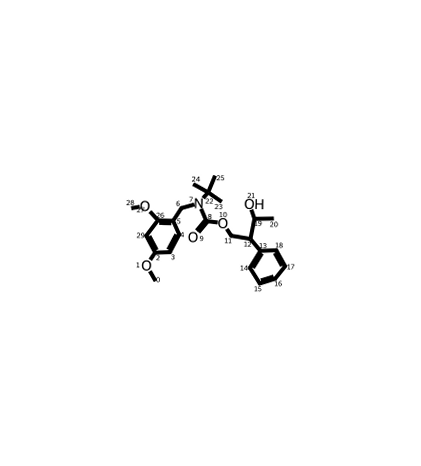 COc1ccc(CN(C(=O)OCC(c2ccccc2)C(C)O)C(C)(C)C)c(OC)c1